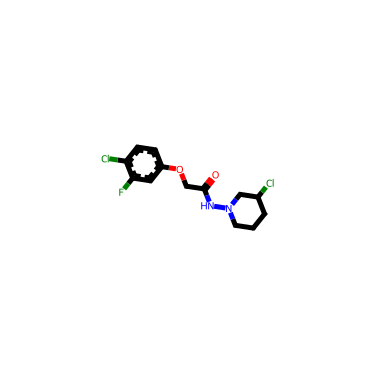 O=C(COc1ccc(Cl)c(F)c1)NN1CC[CH]C(Cl)C1